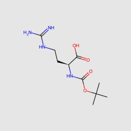 CC(C)(C)OC(=O)N[C@@H](CCNC(=N)N)C(=O)O